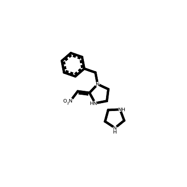 C1CNCN1.O=[N+]([O-])C=C1NCCN1Cc1ccccc1